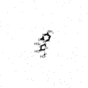 Nc1ccn([C@@H]2O[C@H](CO)C(O)[C@@H]2O)c(=O)n1